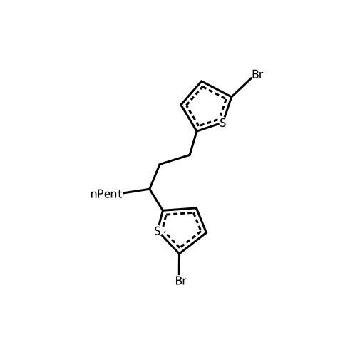 CCC[CH]CC(CCc1ccc(Br)s1)c1ccc(Br)s1